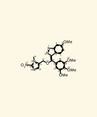 COc1ccc2c(c1)N=N/C2=C(\OCc1cnc([N+](=O)[O-])n1C)c1cc(OC)c(OC)c(OC)c1